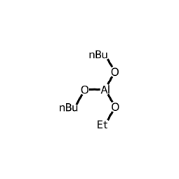 CCCC[O][Al]([O]CC)[O]CCCC